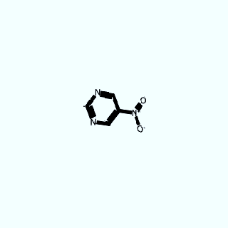 O=[N+]([O-])c1cn[c]nc1